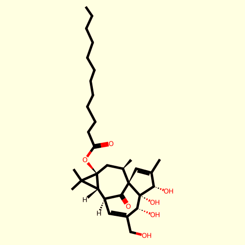 CCCCCCCCCCCC(=O)O[C@@]12C[C@@H](C)[C@]34C=C(C)[C@H](O)[C@@]3(O)[C@H](O)C(CO)=C[C@H](C4=O)[C@@H]1C2(C)C